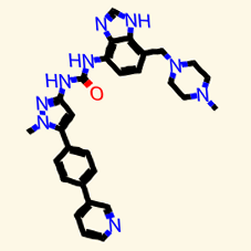 CN1CCN(Cc2ccc(NC(=O)Nc3cc(-c4ccc(-c5cccnc5)cc4)n(C)n3)c3nc[nH]c23)CC1